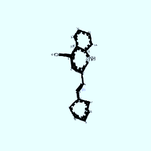 O=c1cc(/C=C/c2ccccc2)[nH]c2ccccc12